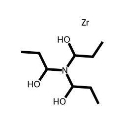 CCC(O)N(C(O)CC)C(O)CC.[Zr]